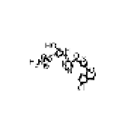 NS(=O)(=O)OC[C@H]1C[C@@H](Nc2ncncc2C(=O)c2cc(C3OCCc4cc(Cl)ccc43)cs2)C[C@@H]1O